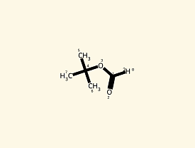 [2H]C(=O)OC(C)(C)C